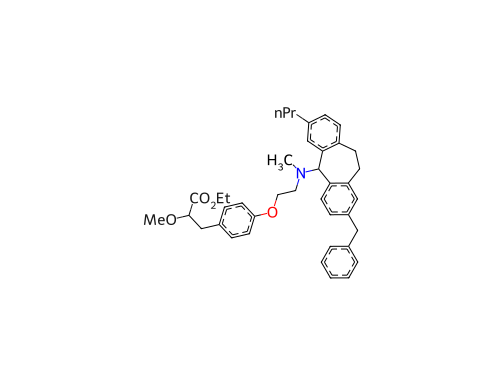 CCCc1ccc2c(c1)C(N(C)CCOc1ccc(CC(OC)C(=O)OCC)cc1)c1ccc(Cc3ccccc3)cc1CC2